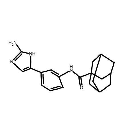 Nc1ncc(-c2cccc(NC(=O)C34CC5CC(CC(C5)C3)C4)c2)[nH]1